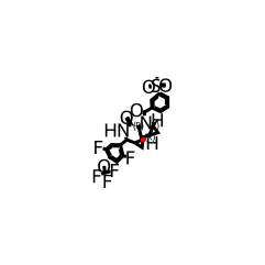 CS(=O)(=O)c1cccc(C(=O)N2[C@@H](C(=O)NC(c3cc(F)c(OC(F)(F)F)cc3F)C3CC3)C[C@H]3C[C@H]32)c1